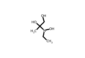 CCN(O)C(C)(O)CO